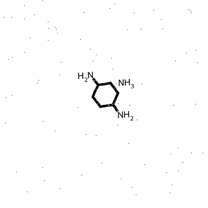 N.NC1CCC(N)CC1